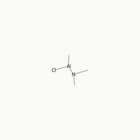 C[N](C)[Al]([CH3])[Cl]